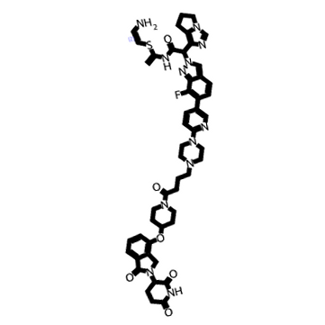 C=C(NC(=O)C(c1ncn2c1CCC2)n1cc2ccc(-c3ccc(N4CCN(CCCC(=O)N5CCC(Oc6cccc7c6CN(C6CCC(=O)NC6=O)C7=O)CC5)CC4)nc3)c(F)c2n1)S/C=C\N